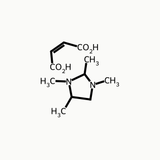 CC1CN(C)C(C)N1C.O=C(O)/C=C\C(=O)O